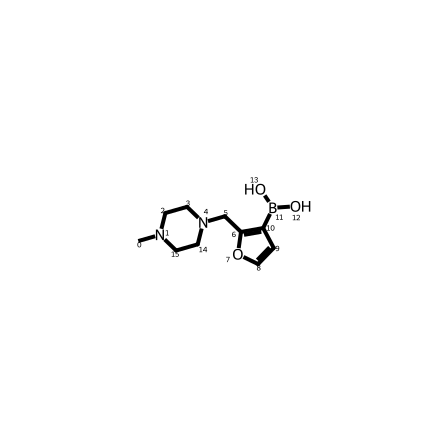 CN1CCN(Cc2occc2B(O)O)CC1